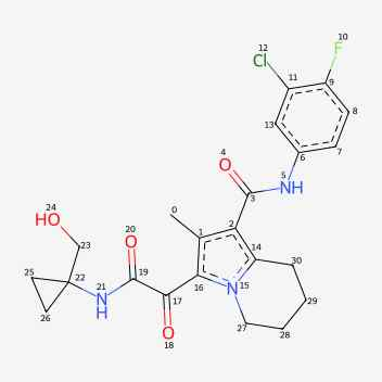 Cc1c(C(=O)Nc2ccc(F)c(Cl)c2)c2n(c1C(=O)C(=O)NC1(CO)CC1)CCCC2